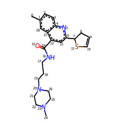 Cc1ccc2nc(C3CC=CS3)cc(C(=O)NCCCN3CCN(C)CC3)c2c1